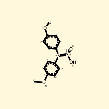 COc1ccc(S(c2ccc(OC)cc2)=[SH](=O)O)cc1